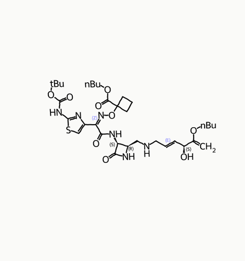 C=C(OCCCC)[C@@H](O)/C=C/CNC[C@H]1NC(=O)[C@H]1NC(=O)/C(=N\OC1(C(=O)OCCCC)CCC1)c1csc(NC(=O)OC(C)(C)C)n1